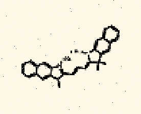 CCCCN1C(=CC=CC2=[N+](CCCC)c3cc4ccccc4cc3C2C)C(C)(C)c2cc3ccccc3cc21